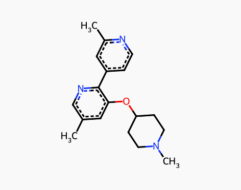 Cc1cnc(-c2ccnc(C)c2)c(OC2CCN(C)CC2)c1